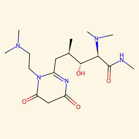 CNC(=O)[C@@H]([C@H](O)[C@H](C)CC1=NC(=O)CC(=O)N1CCN(C)C)N(C)C